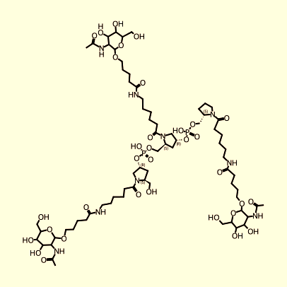 CC(=O)NC1C(OCCCCC(=O)NCCCCCC(=O)N2CCC[C@H]2COP(=O)(O)O[C@@H]2C[C@@H](COP(=O)(O)O[C@@H]3C[C@@H](CO)N(C(=O)CCCCCNC(=O)CCCCOC4OC(CO)C(O)C(O)C4NC(C)=O)C3)N(C(=O)CCCCCNC(=O)CCCCOC3OC(CO)C(O)C(O)C3NC(C)=O)C2)OC(CO)C(O)C1O